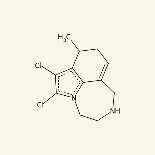 CC1CC=C2CNCCn3c(Cl)c(Cl)c1c32